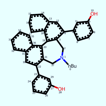 CCCCN1Cc2c(-c3cccc(O)c3)cc3ccccc3c2-c2c(c(-c3cccc(O)c3)cc3ccccc23)C1